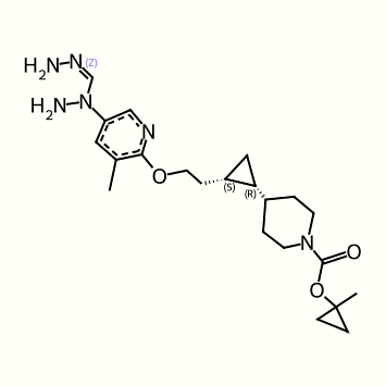 Cc1cc(N(N)/C=N\N)cnc1OCC[C@@H]1C[C@@H]1C1CCN(C(=O)OC2(C)CC2)CC1